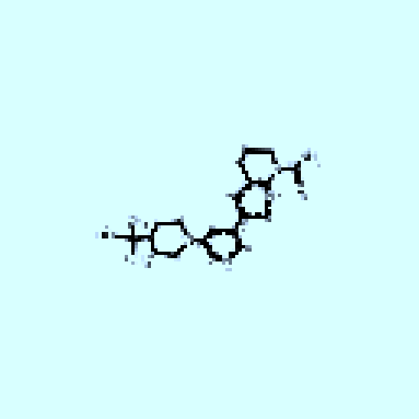 CC(C)(O)C1CCN(c2cncc(-c3cnc4c(c3)CCCN4C(N)=O)c2)CC1